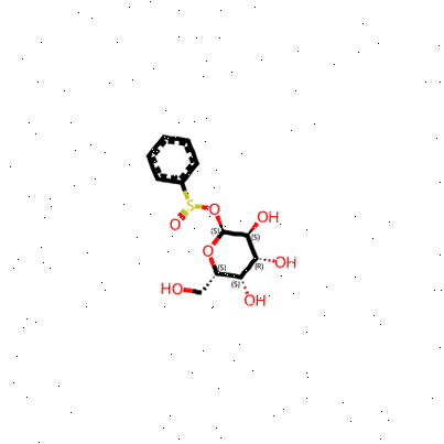 O=S(O[C@@H]1O[C@@H](CO)[C@@H](O)[C@@H](O)[C@@H]1O)c1ccccc1